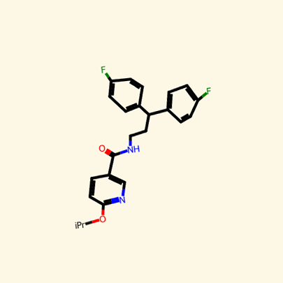 CC(C)Oc1ccc(C(=O)NCCC(c2ccc(F)cc2)c2ccc(F)cc2)cn1